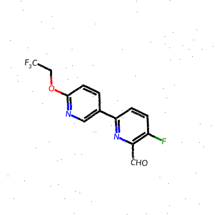 O=Cc1nc(-c2ccc(OCC(F)(F)F)nc2)ccc1F